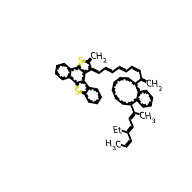 C=C(\C=C/C=C/C=C/C=c1\c(=C)sc2c3ccccc3c3sc4ccccc4c3c12)c1ccccccc(/C(C)=C/C=C(/C=C\C)CC)c2ccccc12